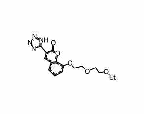 CCOCCOCCOc1cccc2cc(-c3nnn[nH]3)c(=O)oc12